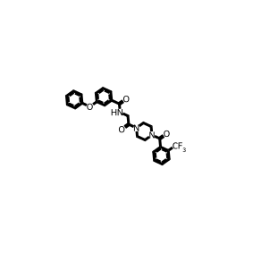 O=C(NCC(=O)N1CCN(C(=O)c2ccccc2C(F)(F)F)CC1)c1cccc(Oc2ccccc2)c1